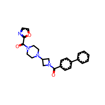 O=C(c1ccc(-c2ccccc2)cc1)N1CC(N2CCN(C(=O)c3ncco3)CC2)C1